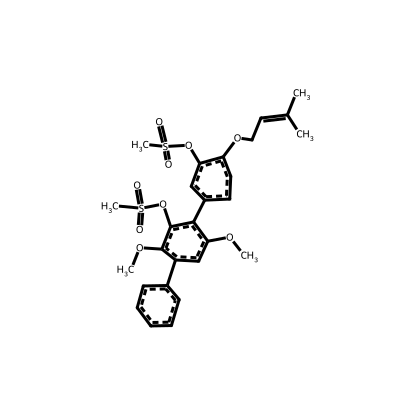 COc1cc(-c2ccccc2)c(OC)c(OS(C)(=O)=O)c1-c1ccc(OCC=C(C)C)c(OS(C)(=O)=O)c1